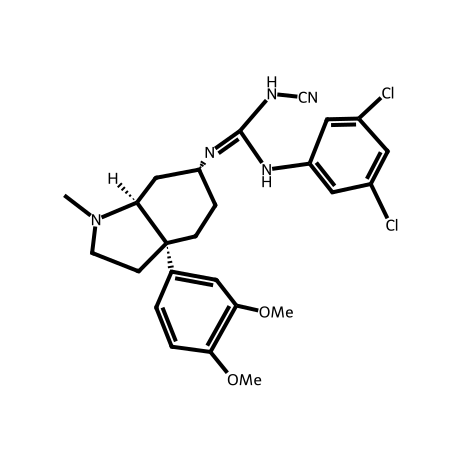 COc1ccc([C@@]23CC[C@@H](N=C(NC#N)Nc4cc(Cl)cc(Cl)c4)C[C@@H]2N(C)CC3)cc1OC